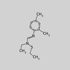 CCSN(C=Nc1ccc(C)cc1C)CC